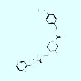 Cc1ccc(COC(=O)N2CC[C@H](CNC(=O)NNc3cnccn3)[C@H](F)C2)cc1